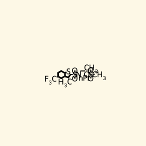 CCCN(C[C@H](C)OS(C)(=O)=O)S(=O)(=O)c1sc2ccc(C(F)(F)F)cc2c1C